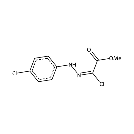 COC(=O)/C(Cl)=N\Nc1ccc(Cl)cc1